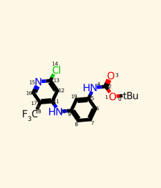 CC(C)(C)OC(=O)Nc1cccc(Nc2cc(Cl)ncc2C(F)(F)F)c1